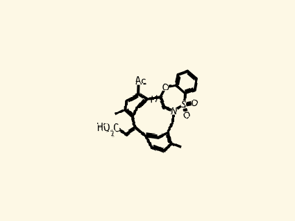 CC(=O)c1cc(C)c2cc1[C@@H]1CN(Cc3cc(ccc3C)C2CC(=O)O)S(=O)(=O)c2ccccc2O1